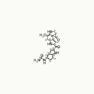 CC1=C2NCC3C(=O)C23C2=CC(C(=O)c3cc4cc(NC(N)=O)ccc4[nH]3)NC2C1